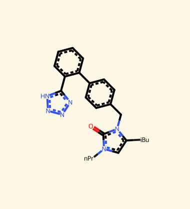 CCCn1cc(C(C)CC)n(Cc2ccc(-c3ccccc3-c3nnn[nH]3)cc2)c1=O